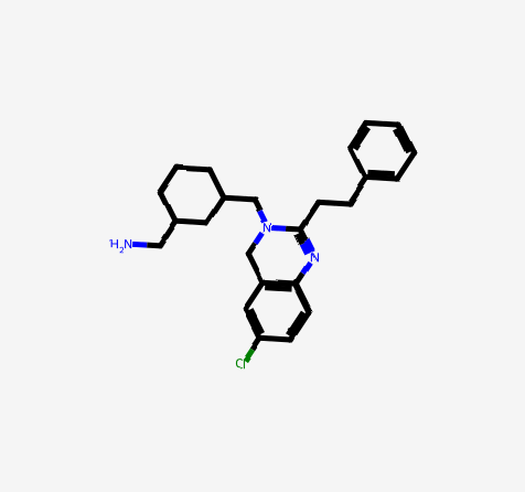 NCC1CCCC(CN2Cc3cc(Cl)ccc3N=C2CCc2ccccc2)C1